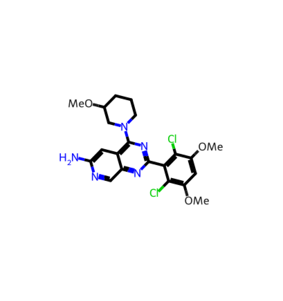 COc1cc(OC)c(Cl)c(-c2nc(N3CCCC(OC)C3)c3cc(N)ncc3n2)c1Cl